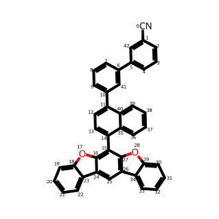 N#Cc1cccc(-c2cccc(-c3ccc(-c4c5oc6ccccc6c5cc5c4oc4ccccc45)c4ccccc34)c2)c1